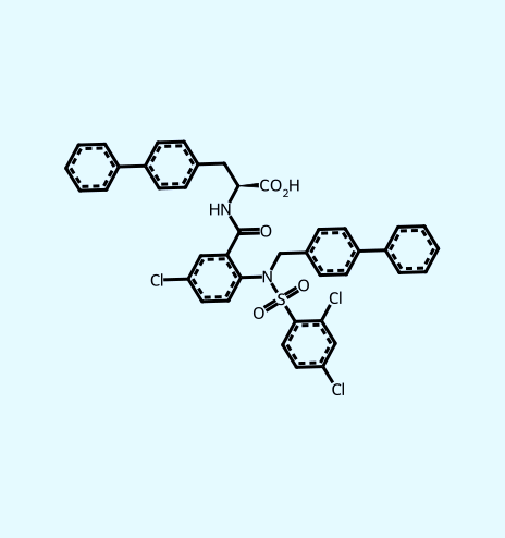 O=C(N[C@@H](Cc1ccc(-c2ccccc2)cc1)C(=O)O)c1cc(Cl)ccc1N(Cc1ccc(-c2ccccc2)cc1)S(=O)(=O)c1ccc(Cl)cc1Cl